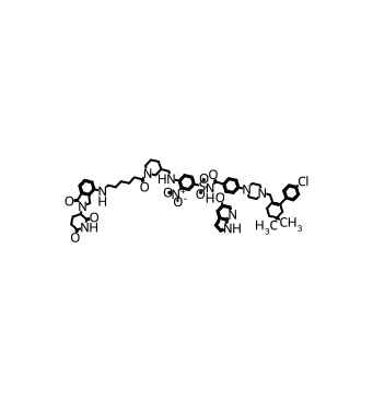 CC1(C)CCC(CN2CCN(c3ccc(C(=O)NS(=O)(=O)c4ccc(NCC5CCCN(C(=O)CCCCCNc6cccc7c6CN(C6CCC(=O)NC6=O)C7=O)C5)c([N+](=O)[O-])c4)c(Oc4cnc5[nH]ccc5c4)c3)CC2)=C(c2ccc(Cl)cc2)C1